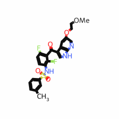 COCCOc1cnc2[nH]cc(C(=O)c3c(F)ccc(NS(=O)(=O)c4cccc(C)c4)c3F)c2c1